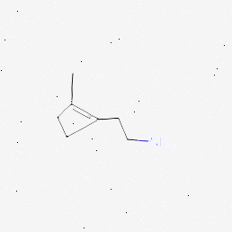 CC1=C(CCN)[C@H](C)C1